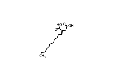 CCCCCCCCCCC=C(CC(=O)O)C(=O)O